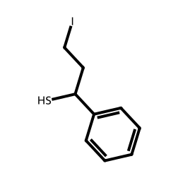 SC(CCI)c1ccccc1